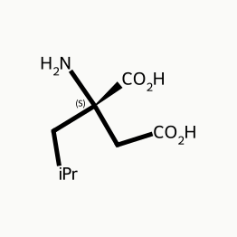 CC(C)C[C@](N)(CC(=O)O)C(=O)O